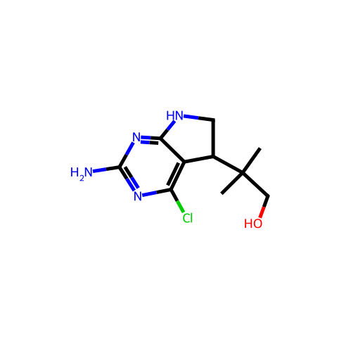 CC(C)(CO)C1CNc2nc(N)nc(Cl)c21